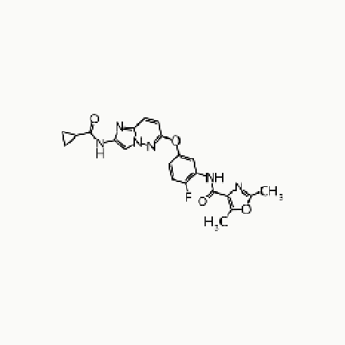 Cc1nc(C(=O)Nc2cc(Oc3ccc4nc(NC(=O)C5CC5)cn4n3)ccc2F)c(C)o1